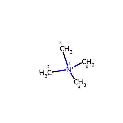 [CH2-][N+](C)(C)C